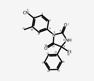 [C-]#[N+]c1ccc(N2C(=O)NC(CC)(c3ccccc3)C2=O)cc1C